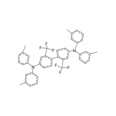 Cc1cccc(N(c2cccc(C)c2)c2ccc(-c3ccc(N(c4cccc(C)c4)c4cccc(C)c4)cc3C(F)(F)F)c(C(F)(F)F)c2)c1